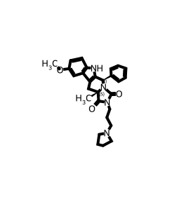 COc1ccc2[nH]c3c(c2c1)C[C@@]1(C)C(=O)N(CCCN2CCCC2)C(=O)N1[C@@H]3c1ccccc1